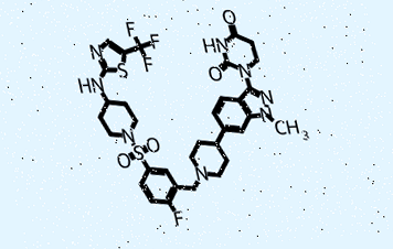 Cn1nc(N2CCC(=O)NC2=O)c2ccc(C3CCN(Cc4cc(S(=O)(=O)N5CCC(Nc6ncc(C(F)(F)F)s6)CC5)ccc4F)CC3)cc21